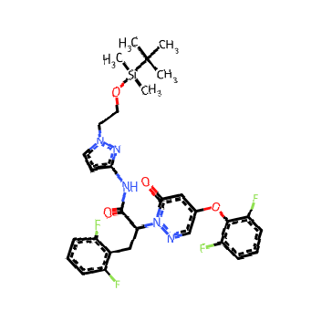 CC(C)(C)[Si](C)(C)OCCn1ccc(NC(=O)C(Cc2c(F)cccc2F)n2ncc(Oc3c(F)cccc3F)cc2=O)n1